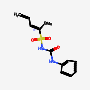 C=C/C=C(\OC)S(=O)(=O)NC(=O)Nc1ccccc1